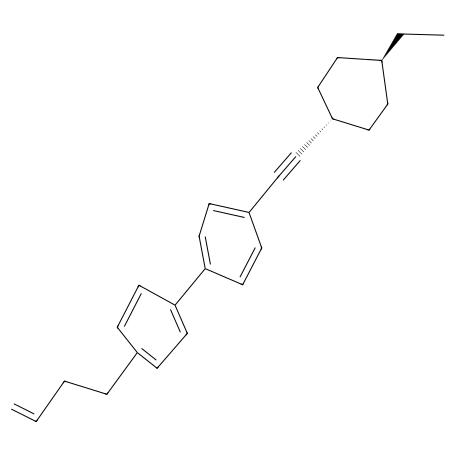 C=CCCc1ccc(-c2ccc(C#C[C@H]3CC[C@H](CC)CC3)cc2)cc1